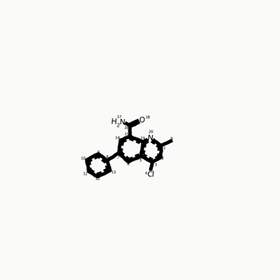 Cc1cc(Cl)c2cc(-c3ccccc3)cc(C(N)=O)c2n1